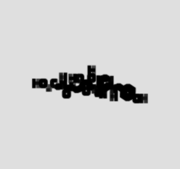 O=C(O)CNC(=O)SCC1O[C@@H](n2cnc3c(NCc4ccc(O)cc4)ncnc32)C(O)C1O